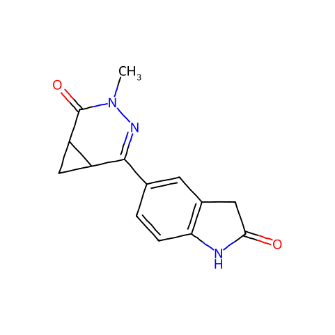 CN1N=C(c2ccc3c(c2)CC(=O)N3)C2CC2C1=O